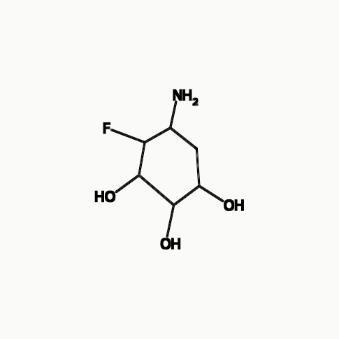 NC1CC(O)C(O)C(O)C1F